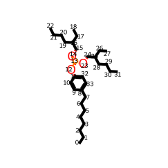 CCCCCCCCc1ccc(OP(OCC(CC)CCCC)OCC(CC)CCCC)cc1